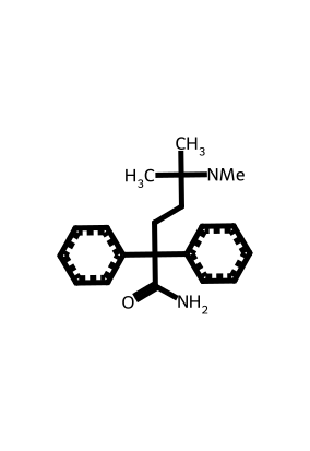 CNC(C)(C)CCC(C(N)=O)(c1ccccc1)c1ccccc1